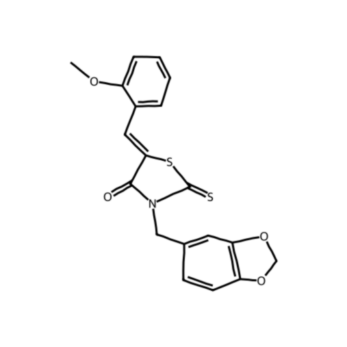 COc1ccccc1C=C1SC(=S)N(Cc2ccc3c(c2)OCO3)C1=O